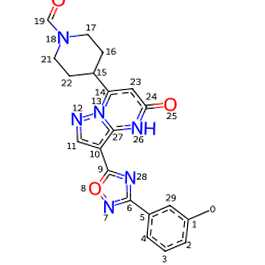 Cc1cccc(-c2noc(-c3cnn4c(C5CCN(C=O)CC5)cc(=O)[nH]c34)n2)c1